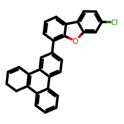 Clc1ccc2c(c1)oc1c(-c3ccc4c(c3)c3c(c5ccccc54)CCC=C3)cccc12